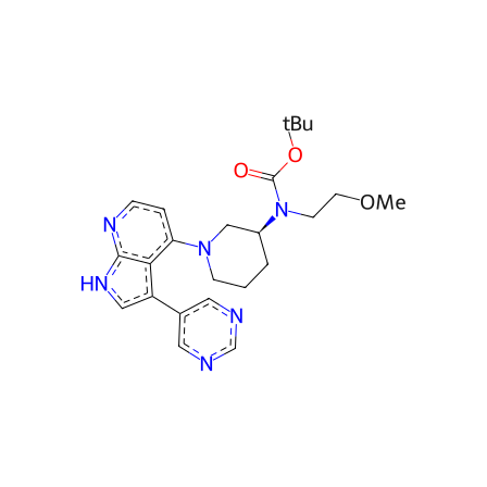 COCCN(C(=O)OC(C)(C)C)[C@H]1CCCN(c2ccnc3[nH]cc(-c4cncnc4)c23)C1